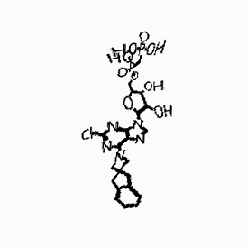 O=P(O)(O)CP(=O)(O)OCC1OC(n2cnc3c(N4CC5(Cc6ccccc6C5)C4)nc(Cl)nc32)C(O)C1O